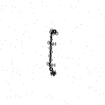 Cc1nnc(-c2ccc(CNC(=O)CCOCCOCCOCCOCCNC(=O)CCSSCCC(=O)ON3C(=O)CCC3=O)cc2)nn1